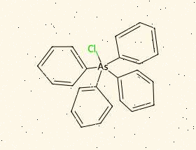 Cl[As](c1ccccc1)(c1ccccc1)(c1ccccc1)c1ccccc1